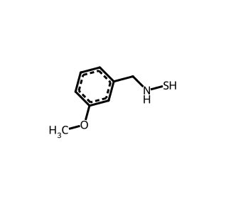 COc1cccc(CNS)c1